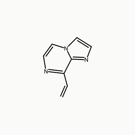 C=Cc1nccn2ccnc12